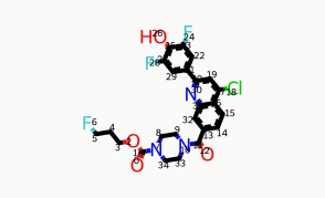 O=C(OCCCF)N1CCN(C(=O)c2ccc3c(Cl)cc(-c4cc(F)c(O)c(F)c4)nc3c2)CC1